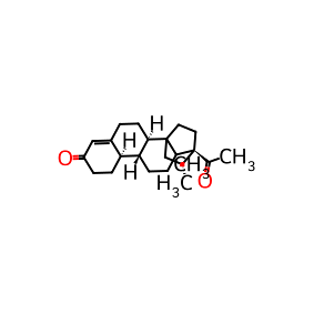 CC(=O)[C@@]12CCC3(C[C@H]1C)[C@@H]1CCC4=CC(=O)CC[C@@H]4[C@H]1CC[C@@]32C